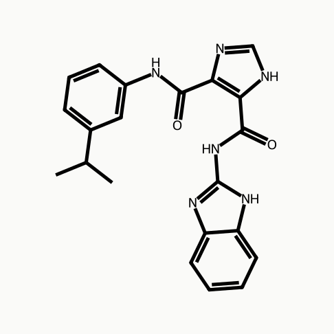 CC(C)c1cccc(NC(=O)c2nc[nH]c2C(=O)Nc2nc3ccccc3[nH]2)c1